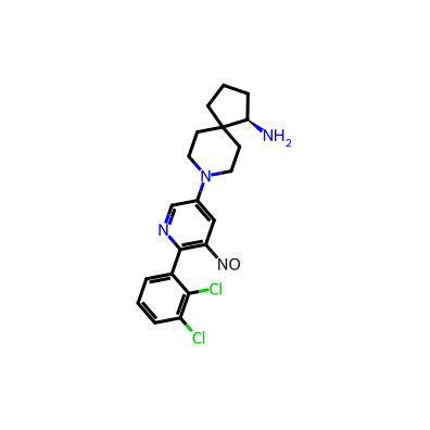 N[C@@H]1CCCC12CCN(c1cnc(-c3cccc(Cl)c3Cl)c(N=O)c1)CC2